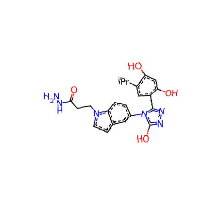 CC(C)c1cc(-c2nnc(O)n2-c2ccc3c(ccn3CCC(=O)NN)c2)c(O)cc1O